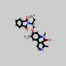 Cc1nccc2c1c(=O)n(C)c1cc(OC[C@H](CC(C)C)N3C(=O)c4ccccc4C3=O)c(C(F)(F)F)cc21